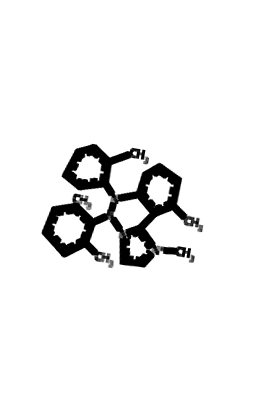 Cc1ccccc1N1B(c2c(C)cccc2C)n2cc[n+](C)c2-c2c(C)cccc21